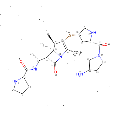 C[C@@H](NC(=O)C1CCCN1)[C@H]1C(=O)N2C(C(=O)O)=C(S[C@@H]3CN[C@H](C(=O)N4CCC(N)C4)C3)[C@H](C)[C@H]12